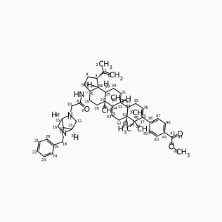 C=C(C)[C@@H]1CC[C@]2(NC(=O)CN3C[C@@H]4C[C@H]3CN4Cc3ccccc3)CC[C@]3(C)[C@H](CC[C@@H]4[C@@]5(C)CC=C(c6ccc(C(=O)OC)cc6)C(C)(C)[C@@H]5CC[C@]43C)[C@@H]12